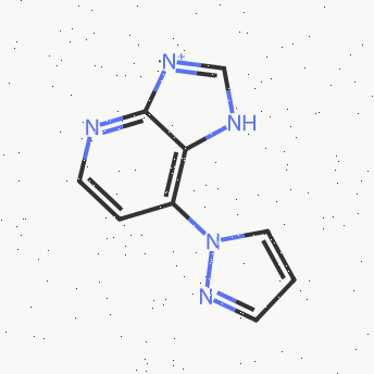 C1=[N+]c2nccc(-n3cccn3)c2N1